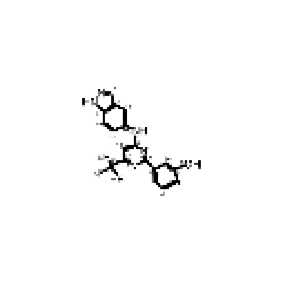 Oc1cccc(-c2nc(Nc3ccc4[nH]ncc4c3)cc(C(F)(F)F)n2)c1